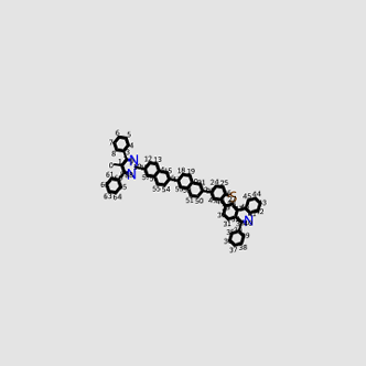 Cc1c(-c2ccccc2)nc(-c2ccc3cc(-c4ccc5cc(-c6ccc7sc8c(ccc9c(-c%10ccccc%10)nc%10ccccc%10c98)c7c6)ccc5c4)ccc3c2)nc1-c1ccccc1